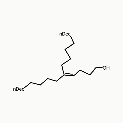 CCCCCCCCCCCCCCC(=CCCCO)CCCCCCCCCCCCCC